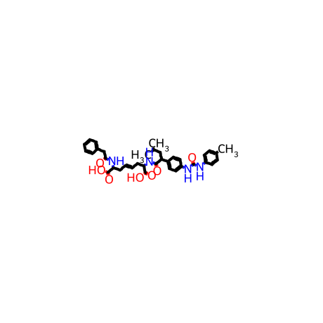 Cc1ccc(NC(=O)Nc2ccc(C(CC(C)C)C(=O)NC(C/C=C/CC(NC(=O)Cc3ccccc3)C(=O)O)C(=O)O)cc2)cc1